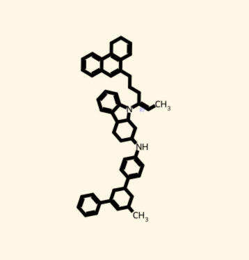 C/C=C(\CCCc1cc2ccccc2c2c1C=CCC2)N1c2ccccc2C2CCC(Nc3ccc(C4CC(c5ccccc5)=CC(C)C4)cc3)CC21